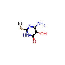 CCSc1nc(N)c(O)c(=O)[nH]1